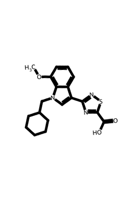 COc1cccc2c(-c3nsc(C(=O)O)n3)cn(CC3CCCCC3)c12